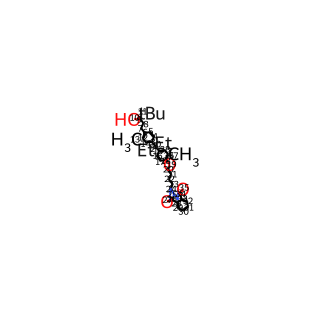 CCC(CC)(c1ccc(CCC(O)C(C)(C)C)c(C)c1)c1ccc(OCCCCCN2C(=O)c3ccccc3C2=O)c(C)c1